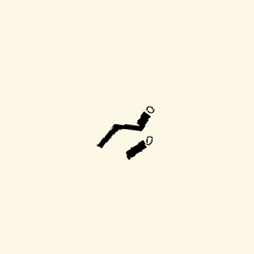 C=O.CCC=O